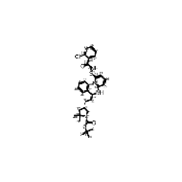 CC(C)(C)OC(=O)N1C[C@@H](CCC(Nc2cccc(SNC(=O)c3cccnc3Cl)n2)c2ccccc2)CC1(C)C